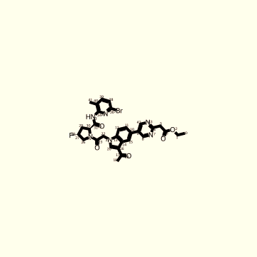 CCOC(=O)Cc1ncc(-c2ccc3c(c2)c(C(C)=O)cn3CC(=O)N2C[C@H](F)C[C@H]2C(=O)Nc2nc(Br)ccc2C)cn1